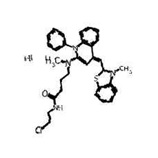 CN(CCCC(=O)NCCCl)C1=CC(=CC2Sc3ccccc3N2C)c2ccccc2N1c1ccccc1.I